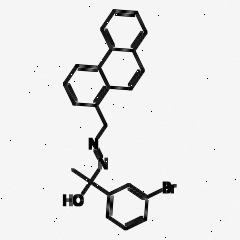 CC(O)(N=NCc1cccc2c1ccc1ccccc12)c1cccc(Br)c1